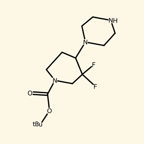 CC(C)(C)OC(=O)N1CCC(N2CCNCC2)C(F)(F)C1